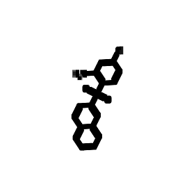 Nc1cc(Cl)ccc1S(=O)(=O)c1ccc2ccccc2c1